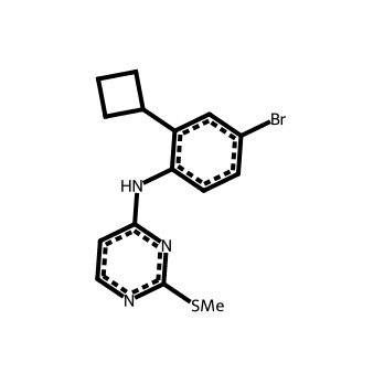 CSc1nccc(Nc2ccc(Br)cc2C2CCC2)n1